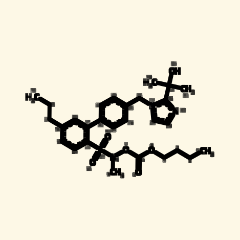 CCCCOC(=O)ON(C)S(=O)(=O)c1ccc(CCC)cc1-c1ccc(Cn2ccnc2C(C)(C)O)cc1